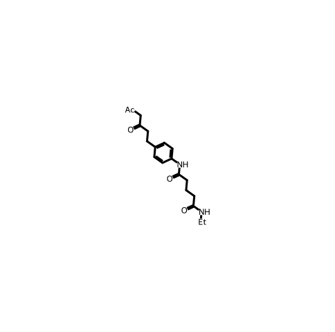 CCNC(=O)CCCC(=O)Nc1ccc(CCC(=O)CC(C)=O)cc1